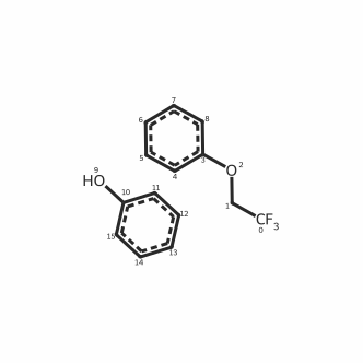 FC(F)(F)COc1ccccc1.Oc1ccccc1